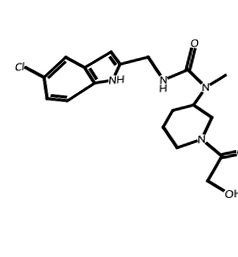 CN(C(=O)NCc1cc2cc(Cl)ccc2[nH]1)C1CCCN(C(=O)CO)C1